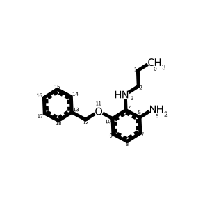 CCCNc1c(N)cccc1OCc1ccccc1